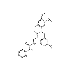 COc1cccc(CC2c3cc(OC)c(OC)cc3CCN2CCNC(=O)Nc2ccccn2)c1